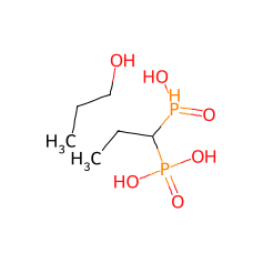 CCC([PH](=O)O)P(=O)(O)O.CCCO